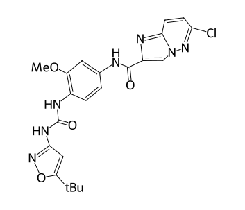 COc1cc(NC(=O)c2cn3nc(Cl)ccc3n2)ccc1NC(=O)Nc1cc(C(C)(C)C)on1